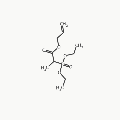 C=CCOC(=O)C(C)P(=O)(OCC)OCC